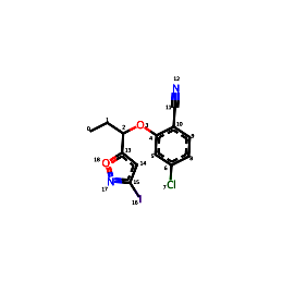 CCC(Oc1cc(Cl)ccc1C#N)c1cc(I)no1